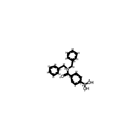 O=C(c1ccc(B(O)O)cc1)N(Cc1ccccc1)Cc1ccccc1